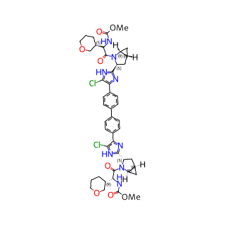 COC(=O)NC(C(=O)N1[C@@H]2C[C@@H]2C[C@H]1c1nc(-c2ccc(-c3ccc(-c4nc([C@@H]5C[C@H]6C[C@H]6N5C(=O)C(NC(=O)OC)[C@H]5CCCOC5)[nH]c4Cl)cc3)cc2)c(Cl)[nH]1)[C@@H]1CCCOC1